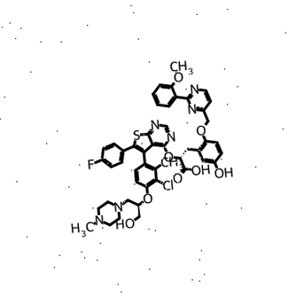 COc1ccccc1-c1nccc(COc2ccc(O)cc2C[C@@H](Oc2ncnc3sc(-c4ccc(F)cc4)c(-c4ccc(O[C@@H](CO)CN5CCN(C)CC5)c(Cl)c4C)c23)C(=O)O)n1